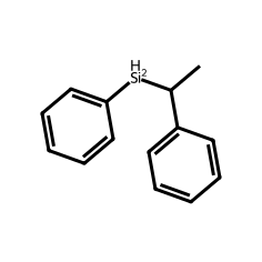 CC([SiH2]c1ccccc1)c1ccccc1